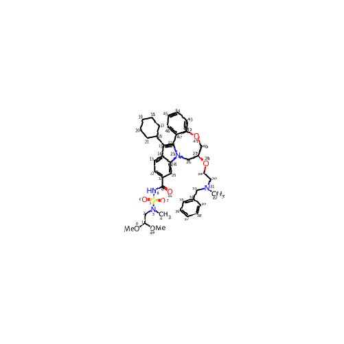 COC(CN(C)S(=O)(=O)NC(=O)c1ccc2c(C3CCCCC3)c3n(c2c1)C[C@H](OCCN(C)Cc1ccccc1)COc1ccccc1-3)OC